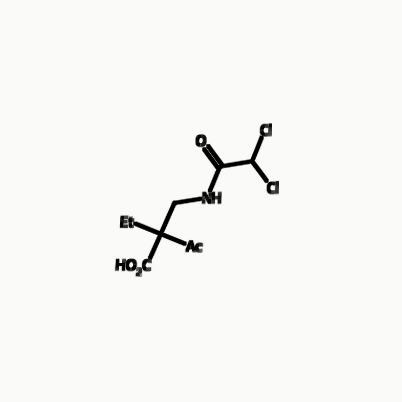 CCC(CNC(=O)C(Cl)Cl)(C(C)=O)C(=O)O